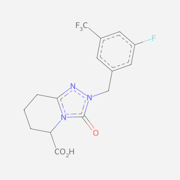 O=C(O)C1CCCc2nn(Cc3cc(F)cc(C(F)(F)F)c3)c(=O)n21